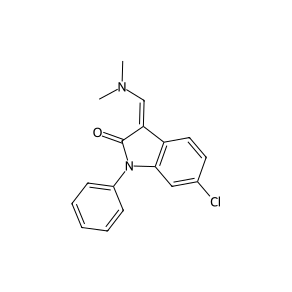 CN(C)C=C1C(=O)N(c2ccccc2)c2cc(Cl)ccc21